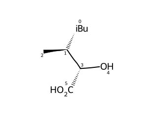 CC[C@@H](C)[C@H](C)[C@H](O)C(=O)O